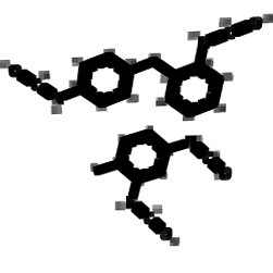 Cc1ccc(N=C=O)cc1N=C=O.O=C=Nc1ccc(Cc2ccccc2N=C=O)cc1